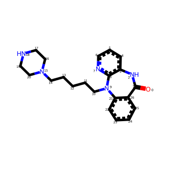 O=C1Nc2cccnc2N(CCCCCN2CCNCC2)c2ccccc21